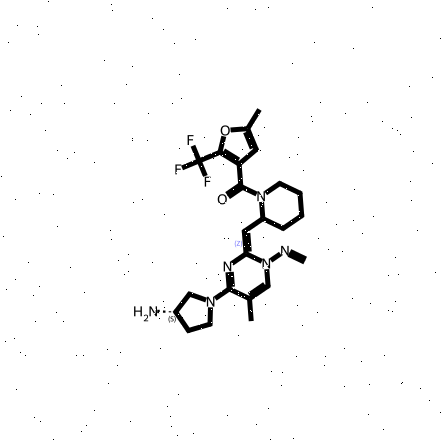 C=NN1C=C(C)C(N2CC[C@H](N)C2)=N/C1=C/C1CCCCN1C(=O)c1cc(C)oc1C(F)(F)F